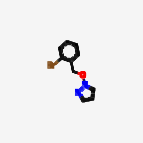 Brc1ccccc1COn1cccn1